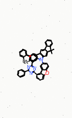 CCc1ccccc1-c1cc2c3cc4c(cc3n(-c3ccc5oc6cccc(-c7nc(-c8ccccc8)nc(-c8ccccc8)n7)c6c5c3)c2cc1CC)C(C)(C)c1ccccc1-4